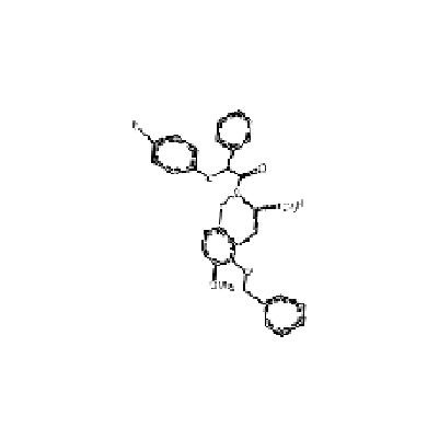 COc1ccc2c(c1OCc1ccccc1)CC(C(=O)O)N(C(=O)C(Oc1ccc(F)cc1)c1ccccc1)C2